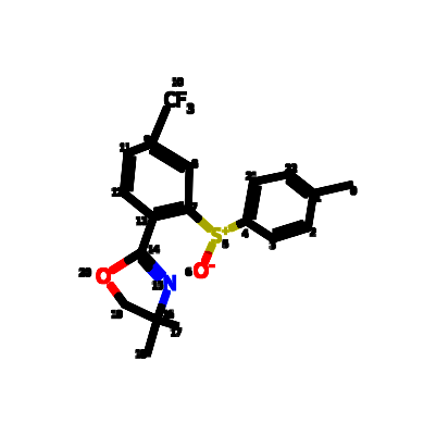 Cc1ccc([S+]([O-])c2cc(C(F)(F)F)ccc2C2=NC(C)(C)CO2)cc1